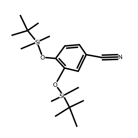 CC(C)(C)[Si](C)(C)Oc1ccc(C#N)cc1O[Si](C)(C)C(C)(C)C